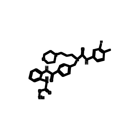 Cc1ccc(NC(=O)N(CCCN2CCOCC2)Cc2ccc(C(=O)Nc3ccccc3NC(=O)OC(C)(C)C)cc2)cc1F